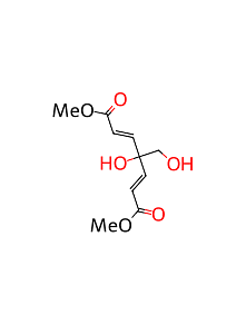 COC(=O)C=CC(O)(C=CC(=O)OC)CO